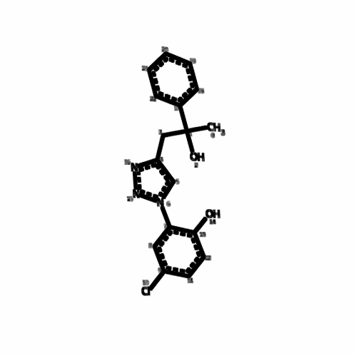 CC(O)(Cc1cn(-c2cc(Cl)ccc2O)nn1)c1ccccc1